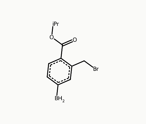 Bc1ccc(C(=O)OC(C)C)c(CBr)c1